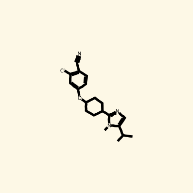 CC(C)c1cnc(C2CCC(Oc3ccc(C#N)c(Cl)c3)CC2)n1C